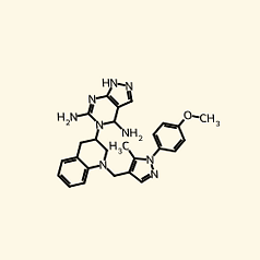 COc1ccc(-n2ncc(CN3CC(N4C(N)=Nc5[nH]ncc5C4N)Cc4ccccc43)c2C)cc1